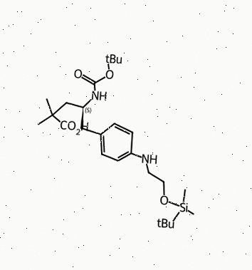 CC(C)(C)OC(=O)N[C@@H](Cc1ccc(NCCO[Si](C)(C)C(C)(C)C)cc1)CC(C)(C)C(=O)O